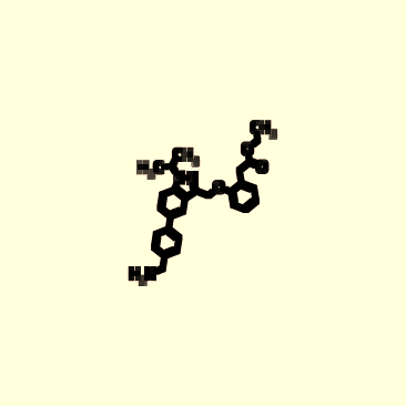 CCOC(=O)Cc1ccccc1OCc1nn(C(C)C)c2ccc(-c3ccc(CN)cc3)cc12